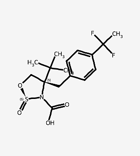 CC(F)(F)c1ccc(C[C@]2(C(C)(C)C)CO[S@](=O)N2C(=O)O)cc1